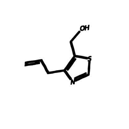 C=CCc1ncsc1CO